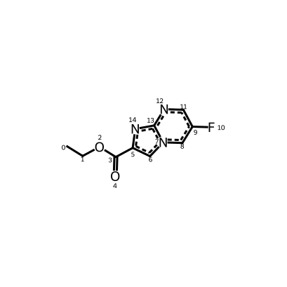 CCOC(=O)c1cn2cc(F)cnc2n1